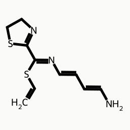 C=CS\C(=N/C=C/C=C/N)C1=NCCS1